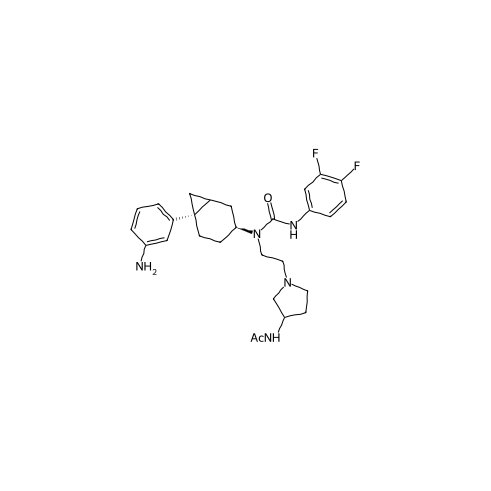 CC(=O)NC1CCN(CCN(C(=O)Nc2ccc(F)c(F)c2)[C@H]2CC[C@@]3(c4cccc(N)c4)CC3C2)C1